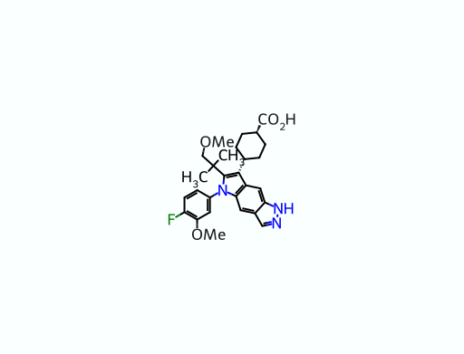 COCC(C)(C)c1c([C@H]2CC[C@H](C(=O)O)CC2)c2cc3[nH]ncc3cc2n1-c1ccc(F)c(OC)c1